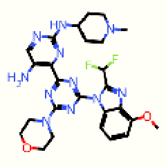 COc1cccc2c1nc(C(F)F)n2-c1nc(-c2nc(NC3CCN(C)CC3)ncc2N)nc(N2CCOCC2)n1